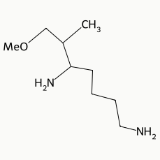 COCC(C)C(N)CCCCN